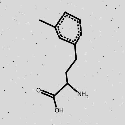 Cc1cccc(CCC(N)C(=O)O)c1